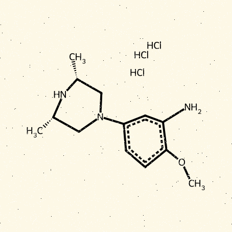 COc1ccc(N2C[C@@H](C)N[C@@H](C)C2)cc1N.Cl.Cl.Cl